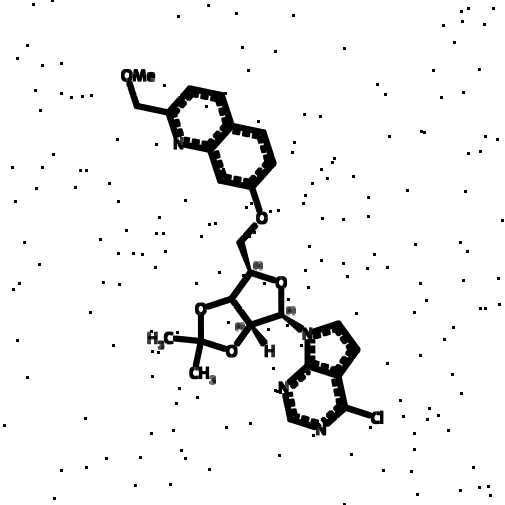 COCc1ccc2ccc(OC[C@H]3O[C@@H](n4ccc5c(Cl)ncnc54)[C@@H]4OC(C)(C)OC43)cc2n1